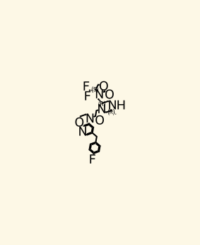 C[C@@H]1CN(CC(=O)N2CCOc3ncc(Cc4ccc(F)cc4)cc32)[C@@H](CN2C(=O)OC[C@H]2C(F)F)CN1